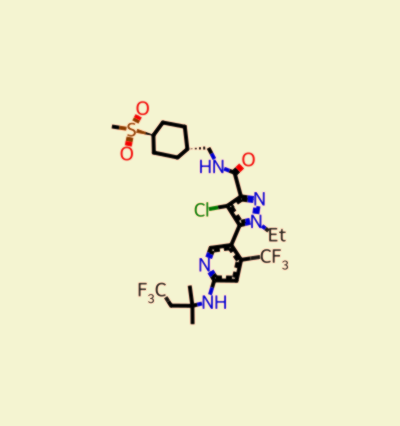 CCn1nc(C(=O)NC[C@H]2CC[C@H](S(C)(=O)=O)CC2)c(Cl)c1-c1cnc(NC(C)(C)CC(F)(F)F)cc1C(F)(F)F